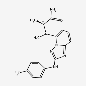 C[C@@H](C(N)=O)N(C)c1cccc2nc(Nc3ccc(C(F)(F)F)cc3)nn12